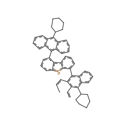 C=Cc1c(/C=C\C)c(-c2cccc3c2sc2cccc(-c4c5ccccc5c(C5CCCCC5)c5ccccc45)c23)c2ccccc2c1C1CCCCC1